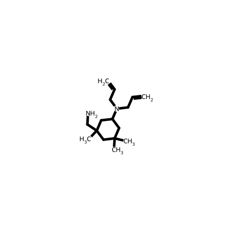 C=CCN(CC=C)C1CC(C)(C)CC(C)(CN)C1